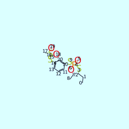 CCCSP(=O)(OCC)Sc1cccc(SS(C)(=O)=O)c1